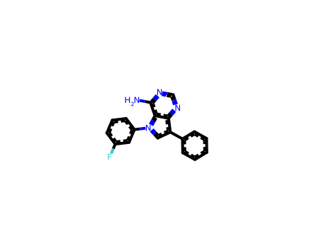 Nc1ncnc2c(-c3ccccc3)cn(-c3cccc(F)c3)c12